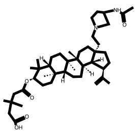 C=C(C)[C@@H]1CC[C@]2(CCN3CCC(NC(C)=O)C3)CC[C@]3(C)[C@H](CC[C@@H]4[C@@]5(C)CC[C@H](OC(=O)CC(C)(C)CC(=O)O)C(C)(C)[C@@H]5CC[C@]43C)[C@@H]12